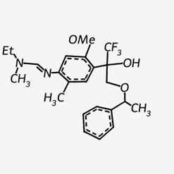 CCN(C)/C=N/c1cc(OC)c(C(O)(COC(C)c2ccccc2)C(F)(F)F)cc1C